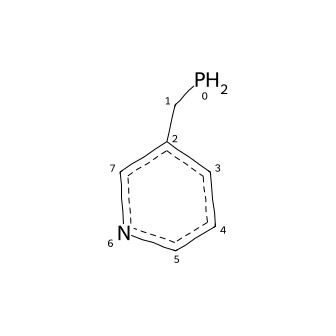 PCc1cccnc1